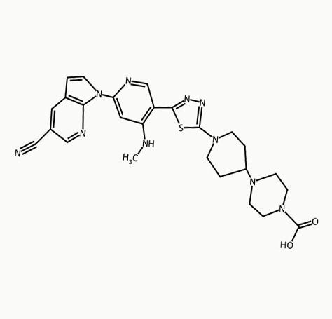 CNc1cc(-n2ccc3cc(C#N)cnc32)ncc1-c1nnc(N2CCC(N3CCN(C(=O)O)CC3)CC2)s1